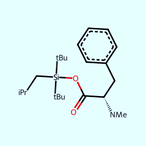 CN[C@@H](Cc1ccccc1)C(=O)O[Si](CC(C)C)(C(C)(C)C)C(C)(C)C